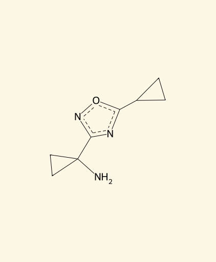 NC1(c2noc(C3CC3)n2)CC1